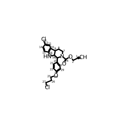 C#CCOC(=O)N1CCC2c3cc(Cl)ccc3NC2C1c1ccc(OCCCCl)cc1